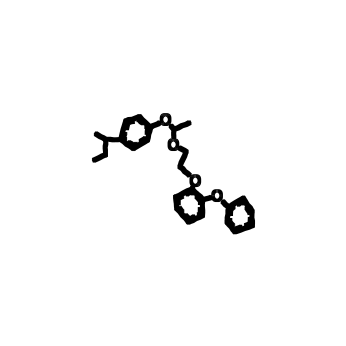 CCC(C)c1ccc(OC(C)OCCOc2ccccc2Oc2ccccc2)cc1